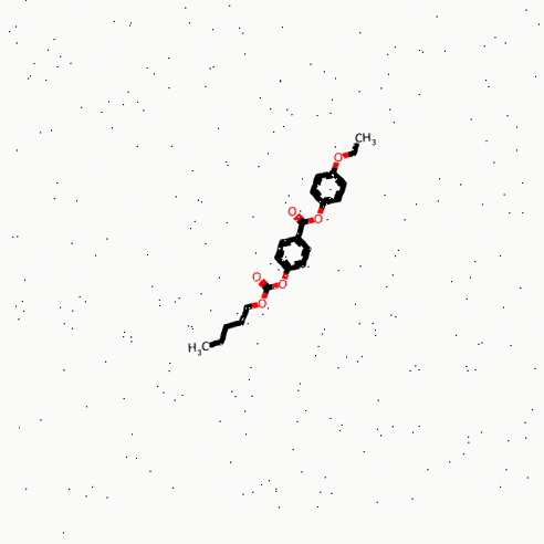 CCCCCOC(=O)Oc1ccc(C(=O)Oc2ccc(OCC)cc2)cc1